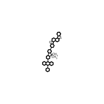 CC1(C)c2cc(-c3ccc4c(c3)oc3ccc5c(ccc6sc7ccccc7c65)c34)ccc2-c2ccc(-c3c4ccccc4c(-c4ccccc4)c4ccccc34)cc21